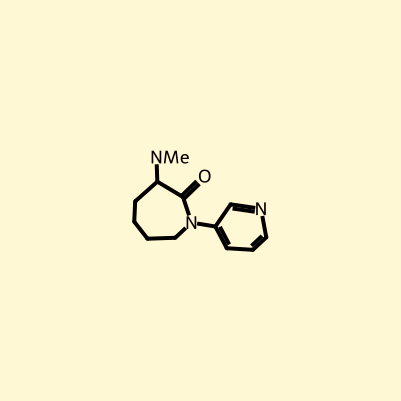 CNC1CCCCN(c2cccnc2)C1=O